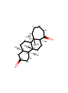 C[C@]12CC[C@H]3[C@@H](CC[C@@H]4CC(=O)CC[C@@H]43)[C@@H]1CCCCC2=O